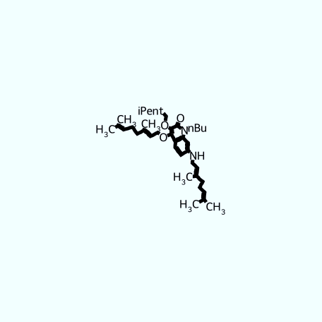 CCCCn1c(=O)c(OCC(C)CCC)c(OC/C=C(\C)CCC=C(C)C)c2ccc(NC/C=C(\C)CCC=C(C)C)cc21